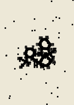 FC(F)(F)c1ccccc1Nc1nccnc1Nc1ccccc1C(F)(F)F